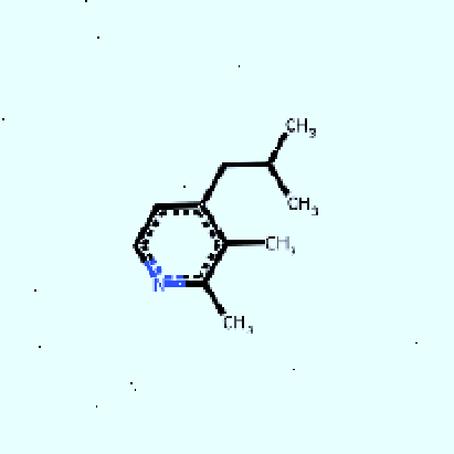 Cc1nccc(CC(C)C)c1C